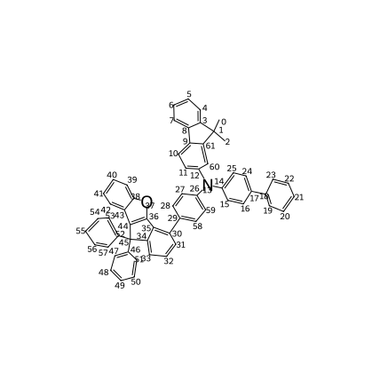 CC1(C)c2ccccc2-c2ccc(N(c3ccc(-c4ccccc4)cc3)c3ccc(-c4cccc5c4-c4oc6ccccc6c4C5(c4ccccc4)c4ccccc4)cc3)cc21